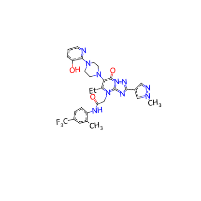 CCc1c(N2CCN(c3ncccc3O)CC2)c(=O)n2nc(-c3cnn(C)c3)nc2n1CC(=O)Nc1ccc(C(F)(F)F)cc1C